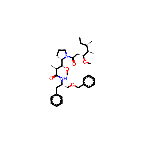 CC[C@H](C)[C@H](C)[C@@H](CC(=O)N1CCC[C@H]1[C@H](OC)[C@@H](C)C(=O)N[C@H](COCc1ccccc1)Cc1ccccc1)OC